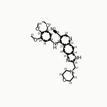 COc1cc(Nc2c(C#N)cnc3cc4[nH]c(CN5CCOCC5)nc4cc23)cc(OC)c1OC